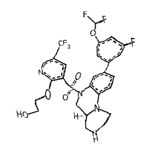 O=S(=O)(c1cc(C(F)(F)F)cnc1OCCO)N1C[C@@H]2CNCCN2c2ccc(-c3cc(F)cc(OC(F)F)c3)cc21